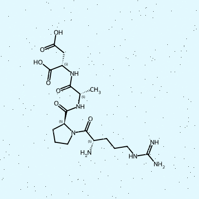 C[C@H](NC(=O)[C@@H]1CCCN1C(=O)[C@@H](N)CCCNC(=N)N)C(=O)N[C@@H](CC(=O)O)C(=O)O